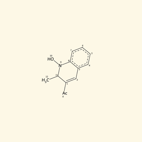 CC(=O)C1=Cc2ccccc2N(O)C1C